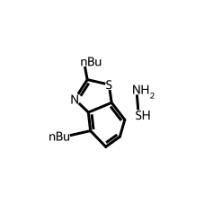 CCCCc1nc2c(CCCC)cccc2s1.NS